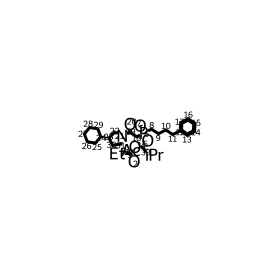 CCC(=O)OC(OP(=O)(CCCCc1ccccc1)CC(=O)N1C[C@H](C2CCCCC2)C[C@H]1C(C)=O)C(C)C